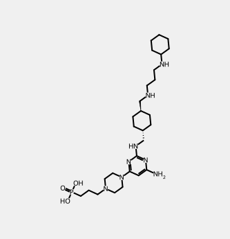 Nc1cc(N2CCN(CCCP(=O)(O)O)CC2)nc(NC[C@H]2CC[C@H](CNCCCNC3CCCCC3)CC2)n1